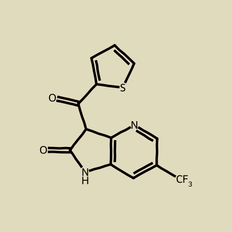 O=C1Nc2cc(C(F)(F)F)cnc2C1C(=O)c1cccs1